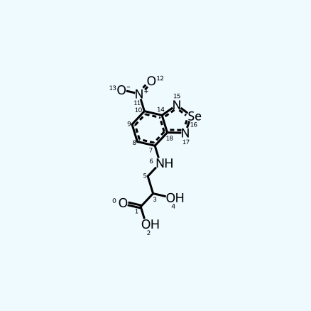 O=C(O)C(O)CNc1ccc([N+](=O)[O-])c2n[se]nc12